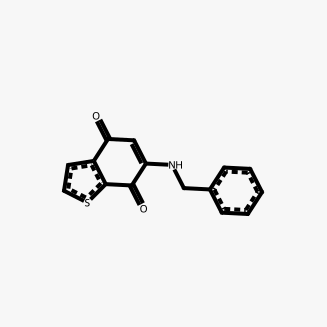 O=C1C=C(NCc2ccccc2)C(=O)c2sccc21